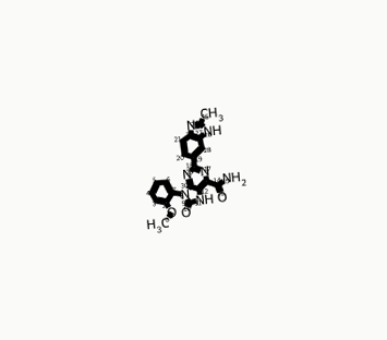 COc1ccccc1-n1c(=O)[nH]c2c(C(N)=O)nc(-c3ccc4nc(C)[nH]c4c3)nc21